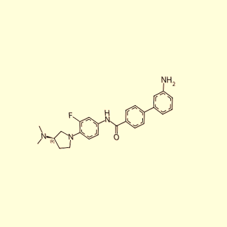 CN(C)[C@@H]1CCN(c2ccc(NC(=O)c3ccc(-c4cccc(N)c4)cc3)cc2F)C1